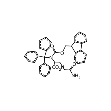 NC(=O)CCC(C(=O)O)N(C(=O)OCC1c2ccccc2-c2ccccc21)C(c1ccccc1)(c1ccccc1)c1ccccc1